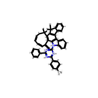 C=C1/C=C\C=C/CC(C)(C)c2c3c(c4c5ccccc5n(-c5nc(-c6ccccc6)nc(-c6ccc(C#N)cc6)n5)c4c21)-c1ccccc1C3(C)C